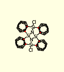 Cl[Si](c1ccccc1)(c1ccccc1)N1[Si](c2ccccc2)(c2ccccc2)N([Si](Cl)(c2ccccc2)c2ccccc2)[Si]1(c1ccccc1)c1ccccc1